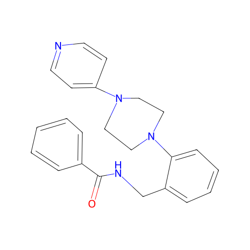 O=C(NCc1ccccc1N1CCN(c2ccncc2)CC1)c1ccccc1